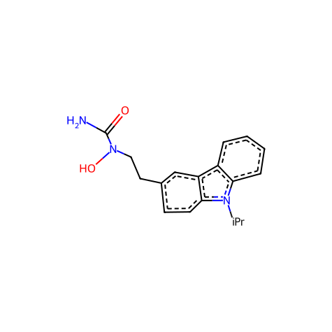 CC(C)n1c2ccccc2c2cc(CCN(O)C(N)=O)ccc21